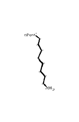 CCCCCCCCCCC[CH]CN